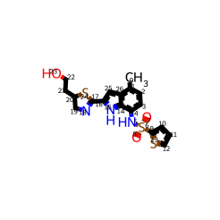 Cc1ccc(NS(=O)(=O)c2cccs2)c2[nH]c(C3=NCC(CCO)S3)cc12